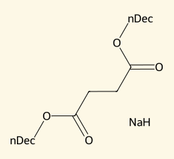 CCCCCCCCCCOC(=O)CCC(=O)OCCCCCCCCCC.[NaH]